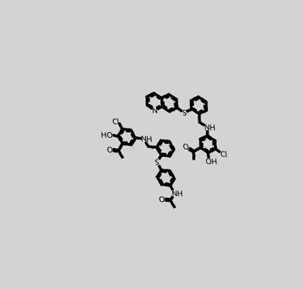 CC(=O)Nc1ccc(Sc2ccccc2CNc2cc(Cl)c(O)c(C(C)=O)c2)cc1.CC(=O)c1cc(NCc2ccccc2Sc2ccc3cccnc3c2)cc(Cl)c1O